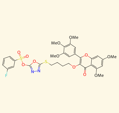 COc1cc(OC)c2c(=O)c(OCCCCSc3nnc(OS(=O)(=O)c4cccc(F)c4)o3)c(-c3cc(OC)c(OC)c(OC)c3)oc2c1